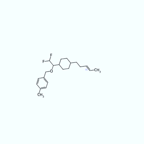 C/C=C/CCC1CCC(C(OCc2ccc(C)cc2)C(F)F)CC1